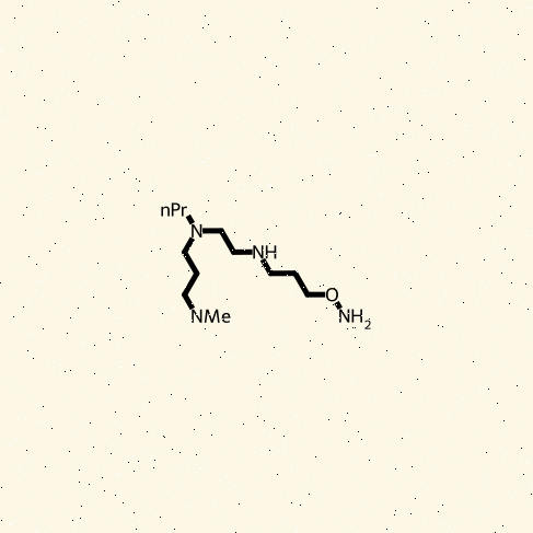 CCCN(CCCNC)CCNCCCON